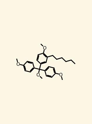 CCCCCCc1cc(C(OC)(c2ccc(OC)cc2)c2ccc(OC)cc2)ccc1OC